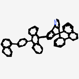 c1ccc2c(c1)-c1cccc3cccc(c13)C21c2ccc(-c3c4ccccc4c(-c4ccc(-c5cccc6ccccc56)cc4)c4ccccc34)cc2-c2ncccc21